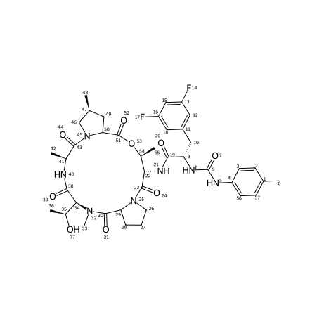 Cc1ccc(NC(=O)N[C@@H](Cc2cc(F)cc(F)c2)C(=O)N[C@@H]2C(=O)N3CCCC3C(=O)N(C)[C@@H]([C@H](C)O)C(=O)N[C@@H](C)C(=O)N3C[C@@H](C)CC3C(=O)O[C@H]2C)cc1